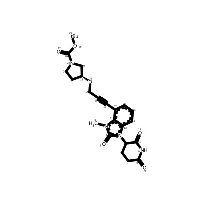 Cn1c(=O)n(C2CCC(=O)NC2=O)c2cccc(C#CCO[C@H]3CCN(C(=O)OC(C)(C)C)C3)c21